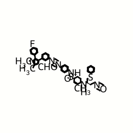 CC1=CC([S+]([O-])Nc2ccc(N3CCN(c4cccc(-c5c(C=O)c(C)n(C)c5-c5ccc(F)cc5)c4)CC3)cc2)CCC1N[C@H](CCN1CCOCC1)CSc1ccccc1